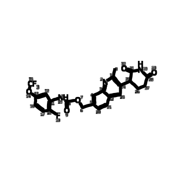 Cc1nc2cc(COC(=O)Nc3cc(OC(F)(F)F)ccc3F)ccc2cc1C1CCC(=O)NC1=O